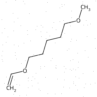 C=COCCCCCOC